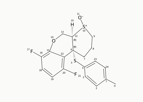 Cc1ccc(S[C@@]23CCC[S+]([O-])[C@@H]2COc2c(F)ccc(F)c23)cc1